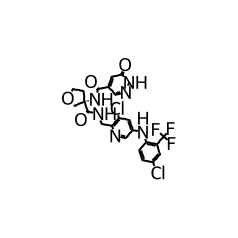 O=C(N[C@@]1(C(=O)NCc2ncc(Nc3ccc(Cl)cc3C(F)(F)F)cc2Cl)CCOC1)c1cn[nH]c(=O)c1